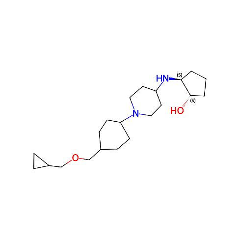 O[C@H]1CCC[C@@H]1NC1CCN(C2CCC(COCC3CC3)CC2)CC1